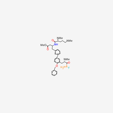 CNCCC[C@H](NC)C(=O)NC(CC(=O)OC)Cc1cccc(-c2ccc(OCc3ccccc3)c(C[C@H](NC)C(=O)P(F)P)c2)c1